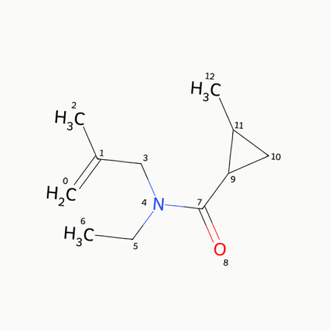 C=C(C)CN(CC)C(=O)C1CC1C